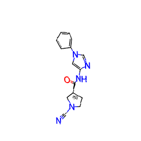 N#CN1CC[C@H](C(=O)Nc2cn(-c3ccccc3)cn2)C1